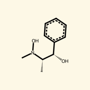 C[C@@H]([C@@H](O)c1ccccc1)N(C)O